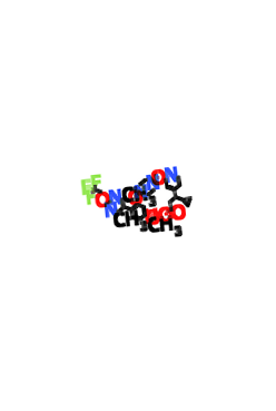 COc1ccc(-c2c(C)nc(OCC(F)(F)F)nc2C)c(ON2CCN(Oc3cc(C(CC(=O)O)C4CC4)ccn3)CC2)c1